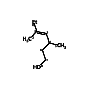 CCC(C)=CC(C)CCO